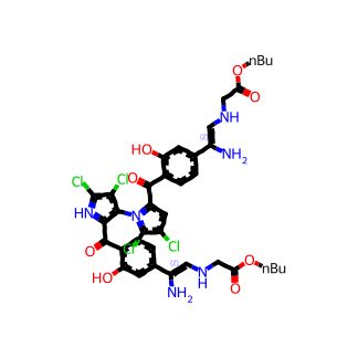 CCCCOC(=O)CN/C=C(\N)c1ccc(C(=O)c2[nH]c(Cl)c(Cl)c2-n2c(C(=O)c3ccc(/C(N)=C/NCC(=O)OCCCC)cc3O)cc(Cl)c2Cl)c(O)c1